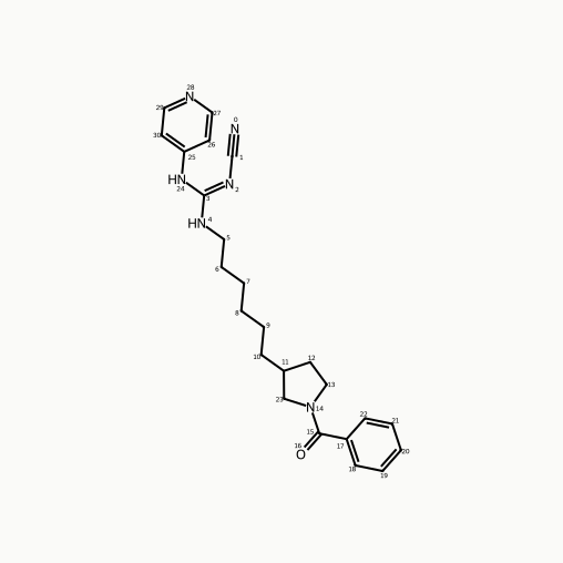 N#CN=C(NCCCCCCC1CCN(C(=O)c2ccccc2)C1)Nc1ccncc1